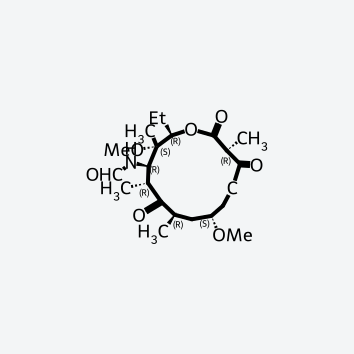 CC[C@H]1OC(=O)[C@H](C)C(=O)CC[C@H](OC)C[C@@H](C)C(=O)[C@H](C)[C@@H](NC=O)[C@]1(C)OC